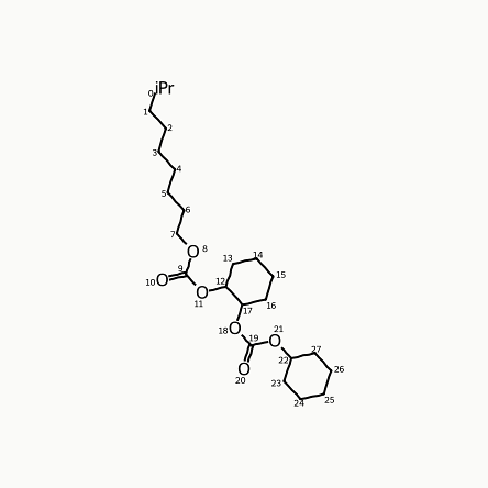 CC(C)CCCCCCCOC(=O)OC1CCCCC1OC(=O)OC1CCCCC1